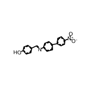 O=[N+]([O-])c1ccc(-c2ccc(N=Cc3ccc(O)cc3)cc2)cc1